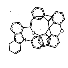 C=C1CC/C=C(/c2cccc3c4c(n(-c5ccccc5)c23)C=CCC4)Oc2ccccc2C12c1ccccc1Oc1cccc(-c3ccccc3)c12